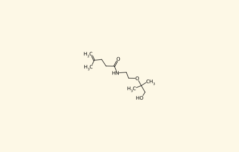 C=C(C)CCC(=O)NCCOC(C)(C)CO